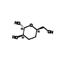 OC[C@H]1CC[C@@H](O)[C@H](O)O1